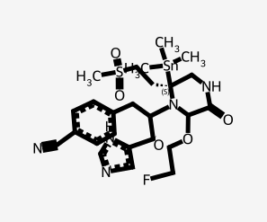 CS(=O)(=O)CC[C@]1([Sn]([CH3])([CH3])[CH3])CNC(=O)C(OCCF)N1C(Cc1ccc(C#N)cc1)C(=O)c1cnc[nH]1